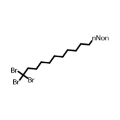 CCCCCCCCCCCCCCCCCCCC(Br)(Br)Br